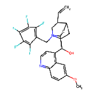 C=CC1C[N+]2(Cc3c(F)c(F)c(F)c(F)c3F)CCC1CC2C(O)c1ccnc2ccc(OC)cc12